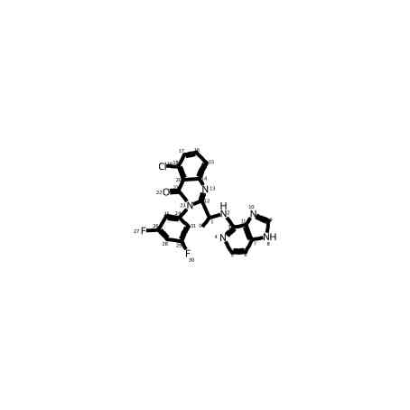 CC(Nc1nccc2[nH]cnc12)c1nc2cccc(Cl)c2c(=O)n1-c1cc(F)cc(F)c1